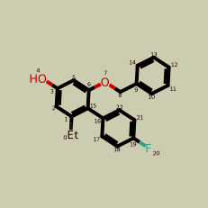 CCc1cc(O)cc(OCc2ccccc2)c1-c1ccc(F)cc1